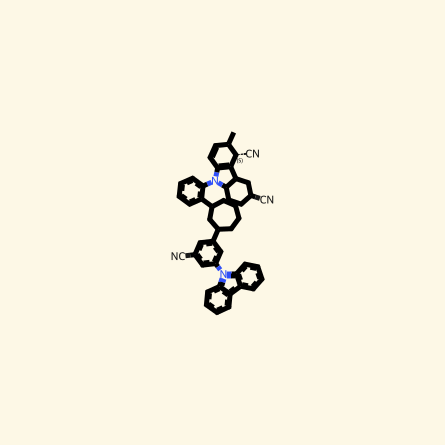 CC1C=CC2=C(C3CC(C#N)CCC3N2c2ccccc2C2CCCCC(c3cc(C#N)cc(-n4c5ccccc5c5ccccc54)c3)C2)[C@H]1C#N